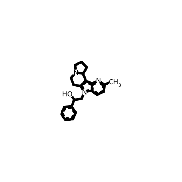 Cc1ccc2c(n1)c1c(n2CC(O)c2ccccc2)CCN2CCCC12